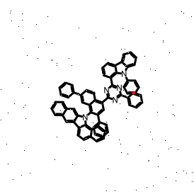 c1ccc(-c2ccc3c(-c4nc(-c5ccccc5)nc(-c5cccc6c7ccccc7n(-c7ccccc7)c56)n4)cc(-c4ccccc4)c(-n4c5cc6ccccc6cc5c5ccc6ccccc6c54)c3c2)cc1